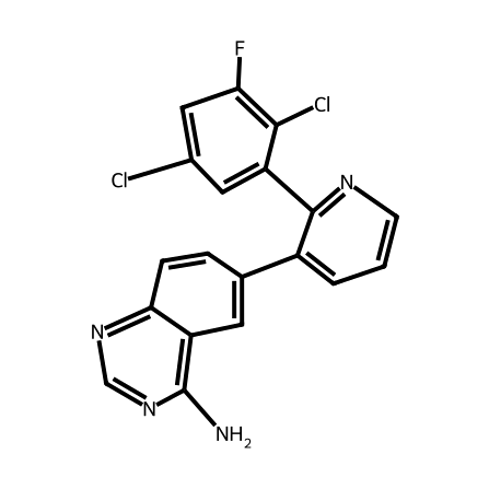 Nc1ncnc2ccc(-c3cccnc3-c3cc(Cl)cc(F)c3Cl)cc12